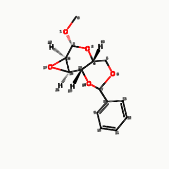 CO[C@@H]1O[C@@H]2COC(c3ccccc3)O[C@@H]2[C@H]2O[C@@H]12